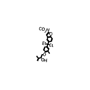 C=C(C)C(O)COc1ccc(C(CC)(CC)c2ccc3oc(C(=O)O)cc3c2)cc1C